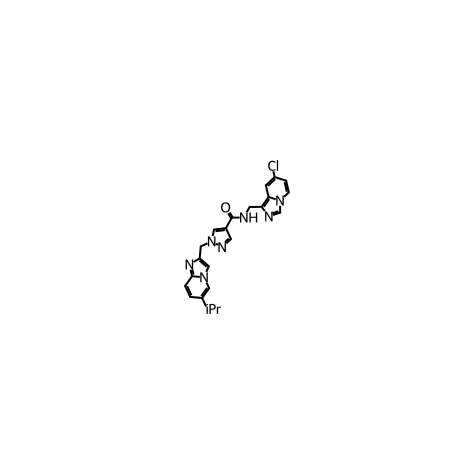 CC(C)c1ccc2nc(Cn3cc(C(=O)NCc4ncn5ccc(Cl)cc45)cn3)cn2c1